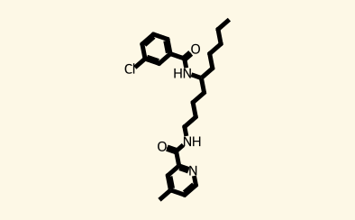 CCCCCC(CCCCNC(=O)c1cc(C)ccn1)NC(=O)c1cccc(Cl)c1